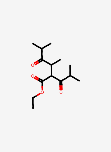 CCOC(=O)C(C(=O)C(C)C)C(C)C(=O)C(C)C